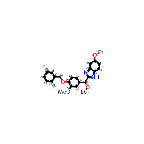 CCOc1ccc2[nH]c(C(OCC)c3ccc(OCc4cc(F)ccc4F)c(OC)c3)nc2c1